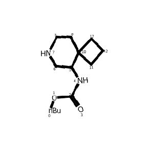 CCCCOC(=O)NC1CNCCC12CCC2